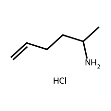 C=CCCC(C)N.Cl